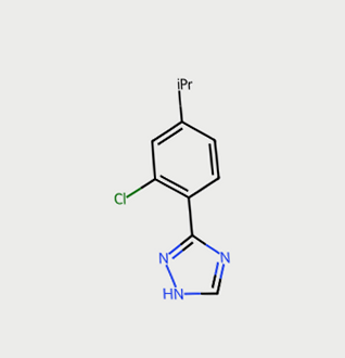 CC(C)c1ccc(-c2nc[nH]n2)c(Cl)c1